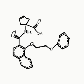 O=C(NC1(C(=O)O)CC=CC1)c1ccc2ccccc2c1OCCOc1ccccc1